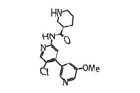 COc1cncc(-c2cc(NC(=O)[C@@H]3CCCNC3)ncc2Cl)c1